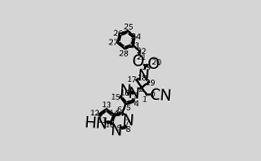 N#CCC1(n2cc(-c3ncnc4[nH]ccc34)cn2)CN(C(=O)OCc2ccccc2)C1